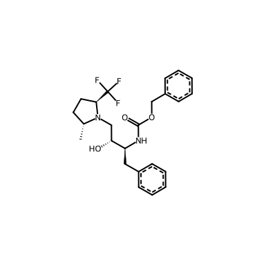 C[C@@H]1CC[C@@H](C(F)(F)F)N1C[C@@H](O)[C@H](Cc1ccccc1)NC(=O)OCc1ccccc1